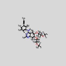 [2H]C#Cc1c([2H])c([2H])c(C)c(N(C)c2nc([2H])nc3c([2H])c(OC([2H])(C)C([2H])([2H])OC([2H])(C)C)c(OC([2H])([2H])C([2H])([2H])OC(C)(C)C)c([2H])c23)c1[2H]